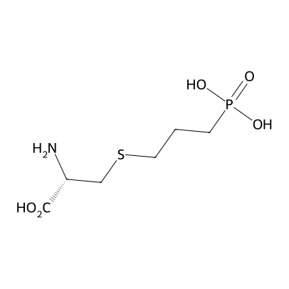 N[C@H](CSCCCP(=O)(O)O)C(=O)O